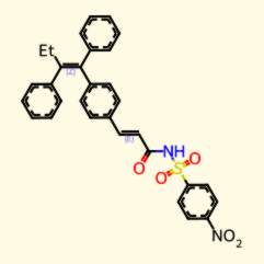 CC/C(=C(\c1ccccc1)c1ccc(/C=C/C(=O)NS(=O)(=O)c2ccc([N+](=O)[O-])cc2)cc1)c1ccccc1